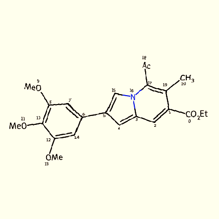 CCOC(=O)c1cc2cc(-c3cc(OC)c(OC)c(OC)c3)cn2c(C(C)=O)c1C